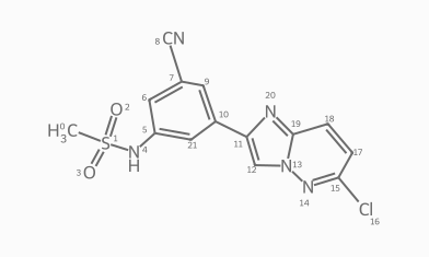 CS(=O)(=O)Nc1cc(C#N)cc(-c2cn3nc(Cl)ccc3n2)c1